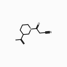 C=C(C)C1CCCN(C(=O)CC#N)C1